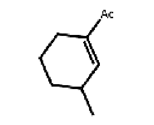 CC(=O)C1=CC(C)CCC1